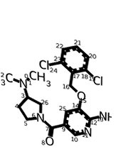 CN(C)C1CCN(C(=O)c2cnc(N)c(OCc3c(Cl)cccc3Cl)c2)C1